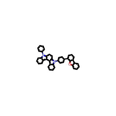 c1ccc(-n2c3ccccc3c3c4c5ccccc5n(-c5ccc(-c6cccc7c6oc6ccccc67)cc5)c4ccc32)cc1